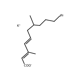 CC(/C=C/CC(C)CCCC(C)C)=C\C(=O)[O-].[K+]